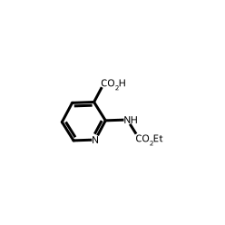 CCOC(=O)Nc1ncccc1C(=O)O